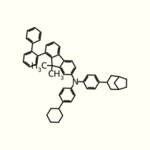 CC1(C)c2cc(N(c3ccc(C4CCCCC4)cc3)c3ccc(C4CC5CCC(C5)C4)cc3)ccc2-c2cccc(-c3ccccc3-c3ccccc3)c21